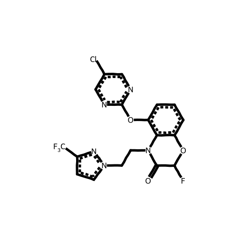 O=C1C(F)Oc2cccc(Oc3ncc(Cl)cn3)c2N1CCn1ccc(C(F)(F)F)n1